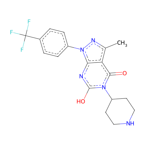 Cc1nn(-c2ccc(C(F)(F)F)cc2)c2nc(O)n(C3CCNCC3)c(=O)c12